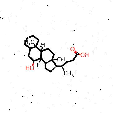 C[C@H](CCC(=O)O)[C@H]1CCC2[C@H]3[C@@H](CC[C@@]21C)[C@@]1(C)CCCCC1C[C@@H]3O